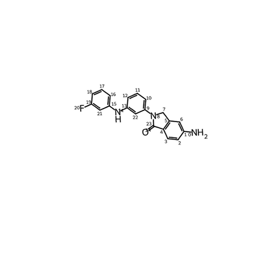 Nc1ccc2c(c1)CN(c1cccc(Nc3cccc(F)c3)c1)C2=O